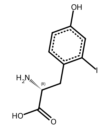 N[C@H](Cc1ccc(O)cc1I)C(=O)O